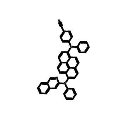 N#Cc1ccc(N(c2ccccc2)c2ccc3ccc4c(N(c5ccccc5)c5cc6ccccc6cn5)ccc5ccc2c3c54)cc1